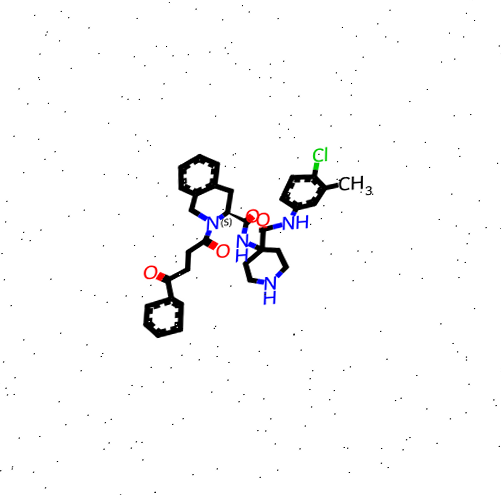 Cc1cc(NC(=O)C2(NC(=O)[C@@H]3Cc4ccccc4CN3C(=O)CCC(=O)c3ccccc3)CCNCC2)ccc1Cl